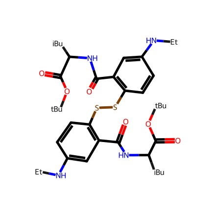 CCNc1ccc(SSc2ccc(NCC)cc2C(=O)NC(C(=O)OC(C)(C)C)C(C)CC)c(C(=O)NC(C(=O)OC(C)(C)C)C(C)CC)c1